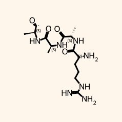 C[C@H](NC(=O)[C@H](N)CCCNC(=N)N)C(=O)N[C@@H](C)C(=O)N[C@@H](C)[C]=O